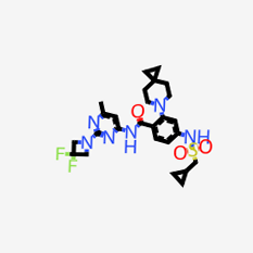 Cc1cc(NC(=O)c2ccc(NS(=O)(=O)CC3CC3)cc2N2CCC3(CC2)CC3)nc(N2CC(F)(F)C2)n1